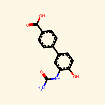 NC(=O)Nc1cc(-c2ccc(C(=O)O)cc2)ccc1O